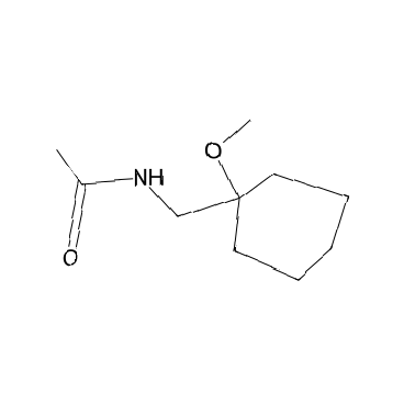 COC1(CNC(C)=O)CCCCC1